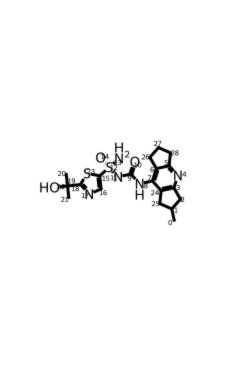 CC1Cc2nc3c(c(NC(=O)N=S(N)(=O)c4cnc(C(C)(C)O)s4)c2C1)CCC3